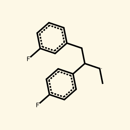 C[CH]C(Cc1cccc(F)c1)c1ccc(F)cc1